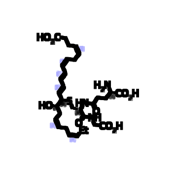 CC/C=C\C/C=C\C[C@H](O)[C@@H](/C=C/C=C/C=C\C/C=C\CCC(=O)O)SC[C@H](NC(=O)CC[C@H](N)C(=O)O)C(=O)NCC(=O)O